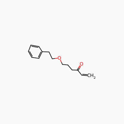 C=CC(=O)CCCOCCc1ccccc1